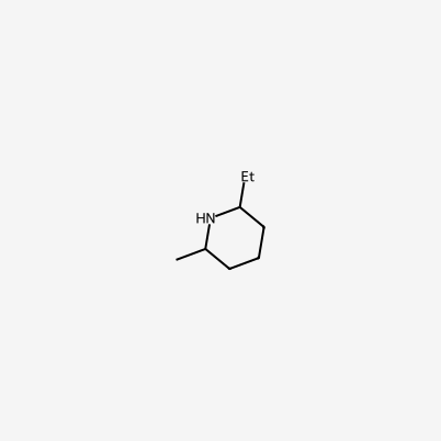 CCC1CCCC(C)N1